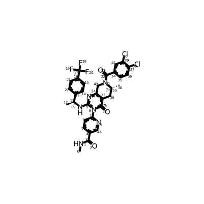 CNC(=O)c1ccc(-n2c(N[C@@H](C)c3ccc(C(F)(F)F)cc3)nc3c(c2=O)C[C@@H](C)N(C(=O)c2ccc(Cl)c(Cl)c2)C3)nc1